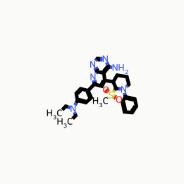 CCN(CC)c1ccc(-c2cc(C3CCCN(c4ccccc4)C3S(C)(=O)=O)c3c(N)ncnc3n2)cc1